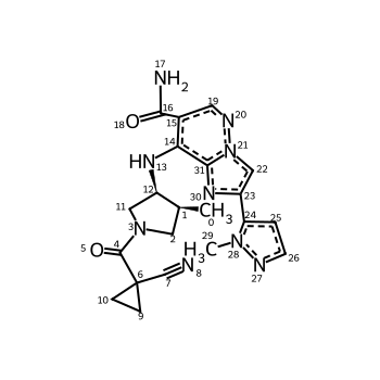 C[C@H]1CN(C(=O)C2(C#N)CC2)C[C@H]1Nc1c(C(N)=O)cnn2cc(-c3ccnn3C)nc12